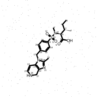 CC[C@H](C)[C@@H](C(=O)O)N(C)S(=O)(=O)c1ccc(Cn2c(C)nc3c2C=CNC3)cc1